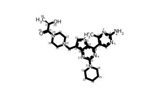 Cc1nc(N)ncc1-c1nc(N2CCCCC2)nc2c(CN3CCN(C(=O)[C@@H](C)O)CC3)csc12